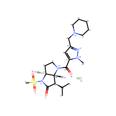 CC(C)[C@H]1C(=O)N(S(C)(=O)=O)[C@H]2CCN(C(=O)c3cc(CN4CCCCC4)nn3C)[C@H]12.Cl